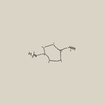 [CH2]NC1CCC(N)CC1